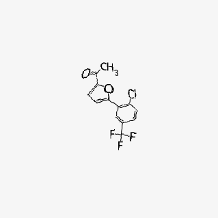 CC(=O)c1ccc(-c2cc(C(F)(F)F)ccc2Cl)o1